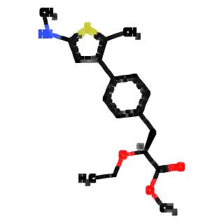 CCO[C@@H](Cc1ccc(-c2cc(NC)sc2C)cc1)C(=O)OC